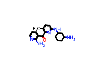 Nc1ncccc1C(=O)c1nc(NC2CCCC(N)C2)ccc1C(F)(F)F